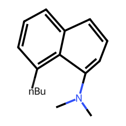 CCCCc1cccc2cccc(N(C)C)c12